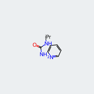 CC(C)NC(N)=O.c1ccncc1